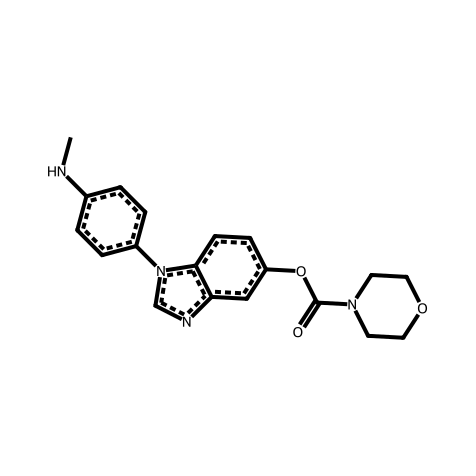 CNc1ccc(-n2cnc3cc(OC(=O)N4CCOCC4)ccc32)cc1